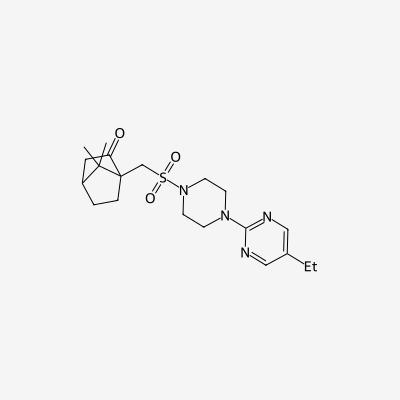 CCc1cnc(N2CCN(S(=O)(=O)CC34CCC(CC3=O)C4(C)C)CC2)nc1